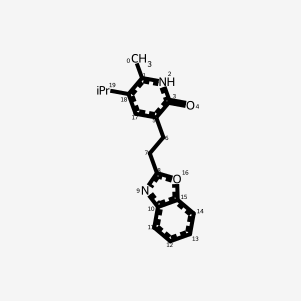 Cc1[nH]c(=O)c(CCc2nc3ccccc3o2)cc1C(C)C